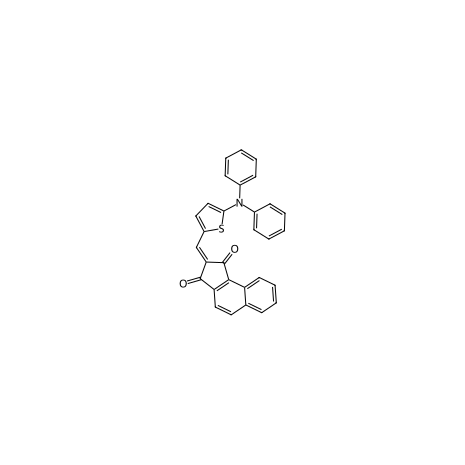 O=C1/C(=C/c2ccc(N(c3ccccc3)c3ccccc3)s2)C(=O)c2c1ccc1ccccc21